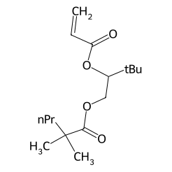 C=CC(=O)OC(COC(=O)C(C)(C)CCC)C(C)(C)C